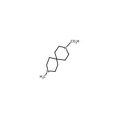 CN1CCC2(CC1)CCN(C(=O)O)CC2